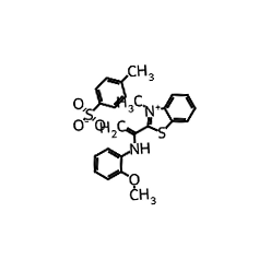 C=C(Nc1ccccc1OC)c1sc2ccccc2[n+]1C.Cc1ccc(S(=O)(=O)[O-])cc1